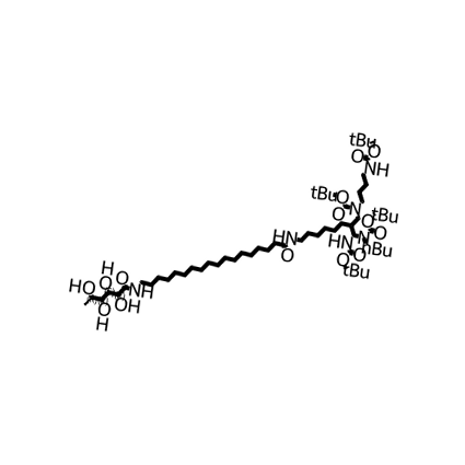 CCCCN(C(=O)OC(C)(C)C)C(NC(=O)OC(C)(C)C)C(CCCCCCNC(=O)CCCCCCCCCCCCCCCCCNC(=O)[C@H](O)[C@@H](O)[C@H](O)[C@@H](C)O)CN(CCCCNC(=O)OC(C)(C)C)C(=O)OC(C)(C)C